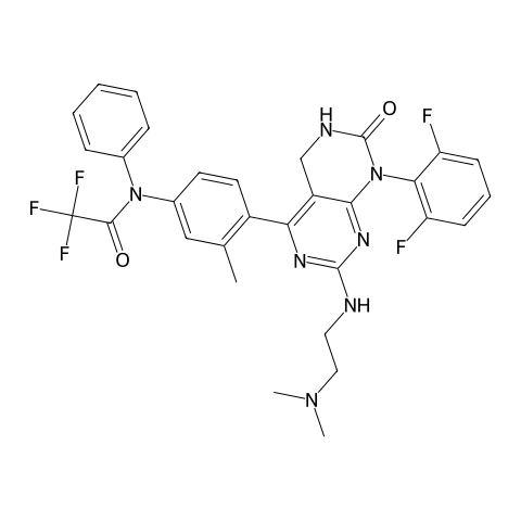 Cc1cc(N(C(=O)C(F)(F)F)c2ccccc2)ccc1-c1nc(NCCN(C)C)nc2c1CNC(=O)N2c1c(F)cccc1F